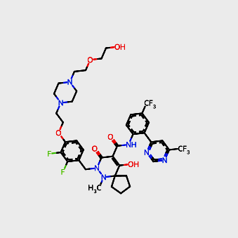 CN1N(Cc2ccc(OCCN3CCN(CCOCCO)CC3)c(F)c2F)C(=O)C(C(=O)Nc2ccc(C(F)(F)F)cc2-c2cc(C(F)(F)F)ncn2)=C(O)C12CCCC2